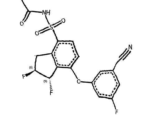 CC(=O)NS(=O)(=O)c1ccc(Oc2cc(F)cc(C#N)c2)c2c1[CH][C@H](F)[C@H]2F